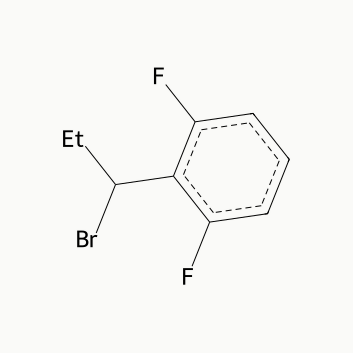 CCC(Br)c1c(F)cccc1F